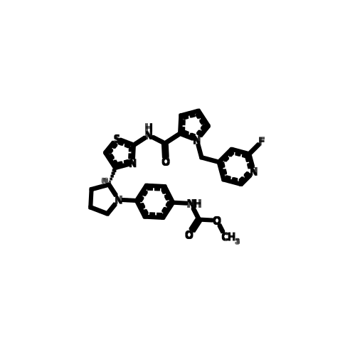 COC(=O)Nc1ccc(N2CCC[C@@H]2c2csc(NC(=O)c3cccn3Cc3ccnc(F)c3)n2)cc1